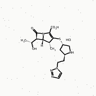 C[C@@H](O)[C@H]1C(=O)N2C(C(=O)O)=C(S[C@@H]3CN[C@@H](CCn4ccnn4)C3)[C@H](C)[C@H]12.Cl